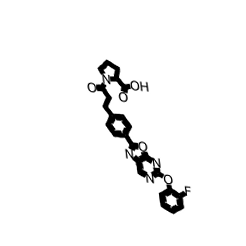 O=C(O)C1CCCN1C(=O)CCc1ccc(-c2nc3cnc(Oc4ccccc4F)nc3o2)cc1